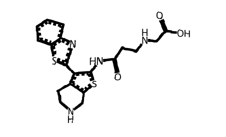 O=C(O)CNCCC(=O)Nc1sc2c(c1-c1nc3ccccc3s1)CCNC2